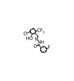 O=C(N/N=C/c1c(C(F)(F)F)ccc(Cl)c1O)c1cccc(F)c1